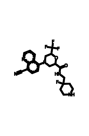 N#Cc1ccc(N2CC(C(=O)NCC3(F)CCNCC3)OC(C(F)(F)F)C2)c2cccnc12